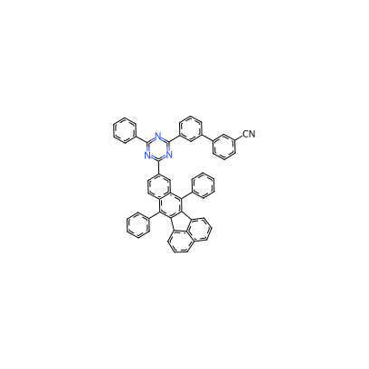 N#Cc1cccc(-c2cccc(-c3nc(-c4ccccc4)nc(-c4ccc5c(-c6ccccc6)c6c(c(-c7ccccc7)c5c4)-c4cccc5cccc-6c45)n3)c2)c1